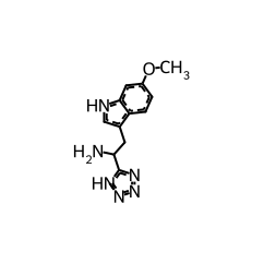 COc1ccc2c(CC(N)c3nnn[nH]3)c[nH]c2c1